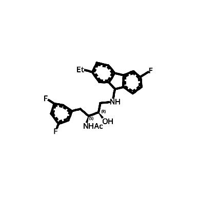 CCc1ccc2c(c1)C(NC[C@@H](O)[C@H](Cc1cc(F)cc(F)c1)NC(C)=O)c1ccc(F)cc1-2